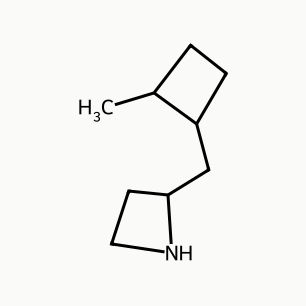 CC1CCC1CC1CCN1